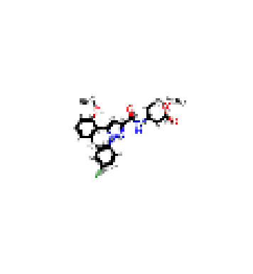 CCCCOc1cccc(OC)c1-c1cc(C(=O)NC(CC(=O)OC(C)(C)C)CC(C)C)nn1-c1ccc(F)cc1